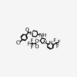 O=C(c1ccc(Cl)cc1)N1CCC(N[C@H]2CN(c3cccc(C(F)(F)F)n3)C[C@@H]2OC(=O)C(F)(F)F)CC1